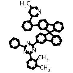 Cc1cncc(-c2ccccc2-c2ccc3c(c2)C2(c4ccccc4-c4cc(-c5nc(-c6ccccc6)nc(-c6cccc(C)c6C)n5)ccc42)c2ccccc2-3)c1